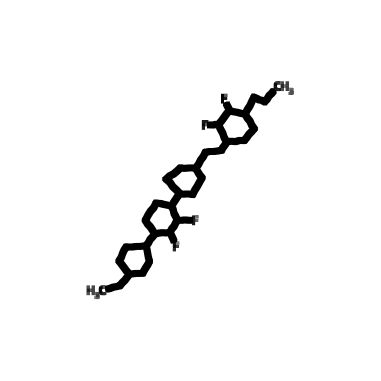 CCCC1CCC(CCC2CCC(C3CCC(C4CCC(CC)CC4)C(F)C3F)CC2)C(F)C1F